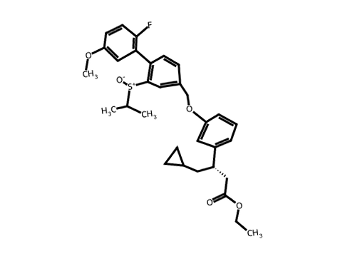 CCOC(=O)C[C@H](CC1CC1)c1cccc(OCc2ccc(-c3cc(OC)ccc3F)c([S+]([O-])C(C)C)c2)c1